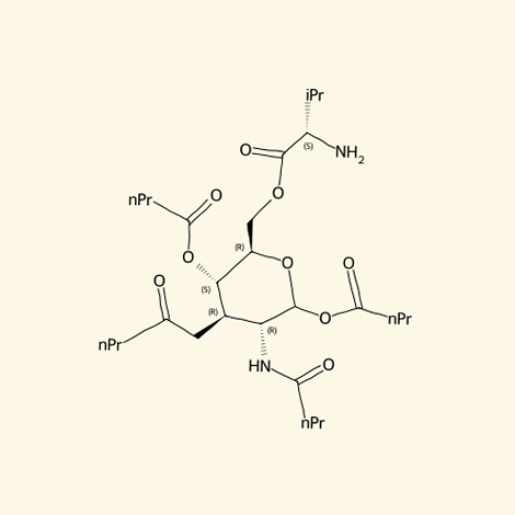 CCCC(=O)C[C@H]1[C@H](OC(=O)CCC)[C@@H](COC(=O)[C@@H](N)C(C)C)OC(OC(=O)CCC)[C@@H]1NC(=O)CCC